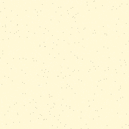 Cc1c(C(=O)N(c2ccc(O)cc2)c2ncc3c(ccn3C)n2)cc(-c2cc(Cl)ccc2C(=O)N2Cc3ccccc3C[C@H]2CN2CCOCC2)n1C.Cl